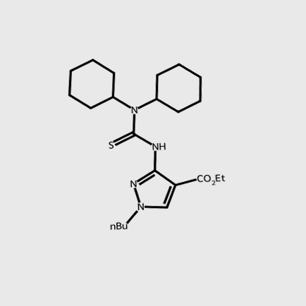 CCCCn1cc(C(=O)OCC)c(NC(=S)N(C2CCCCC2)C2CCCCC2)n1